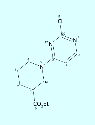 CCOC(=O)C1CCCN(c2ccnc(Cl)n2)C1